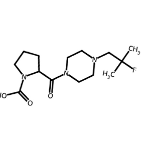 CC(C)(F)CN1CCN(C(=O)C2CCCN2C(=O)O)CC1